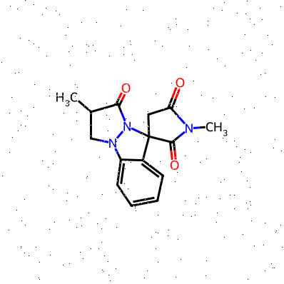 CC1CN2c3ccccc3C3(CC(=O)N(C)C3=O)N2C1=O